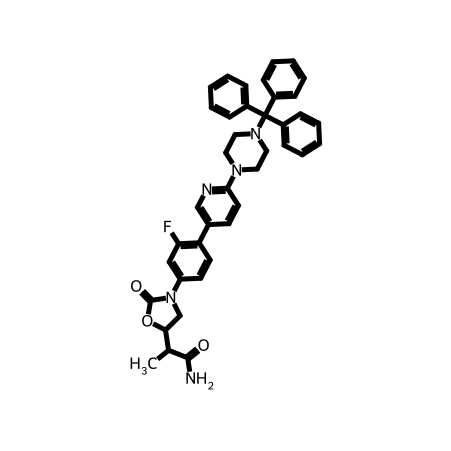 CC(C(N)=O)C1CN(c2ccc(-c3ccc(N4CCN(C(c5ccccc5)(c5ccccc5)c5ccccc5)CC4)nc3)c(F)c2)C(=O)O1